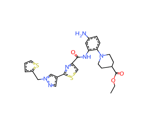 CCOC(=O)C1CCN(c2ccc(N)cc2NC(=O)c2csc(-c3cnn(Cc4cccs4)c3)n2)CC1